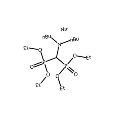 CCCCN(CCCC)C(P(=O)(OCC)OCC)P(=O)(OCC)OCC.[Na]